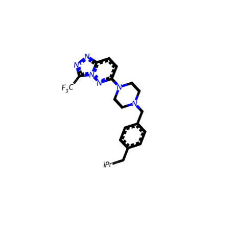 CC(C)Cc1ccc(CN2CCN(c3ccc4nnc(C(F)(F)F)n4n3)CC2)cc1